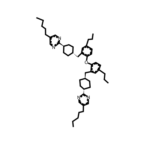 CCCCCc1cnc([C@H]2CC[C@H](Cc3cc(CCC)ccc3Oc3ccc(CCC)cc3C[C@H]3CC[C@H](c4ncc(CCCCC)cn4)CC3)CC2)nc1